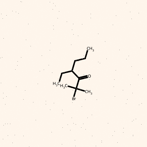 CCCC(CC)C(=O)C(C)(C)Br